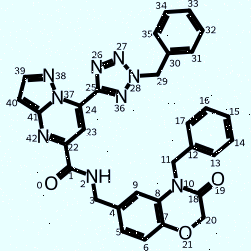 O=C(NCc1ccc2c(c1)N(Cc1ccccc1)C(=O)CO2)c1cc(-c2nnn(Cc3ccccc3)n2)n2nccc2n1